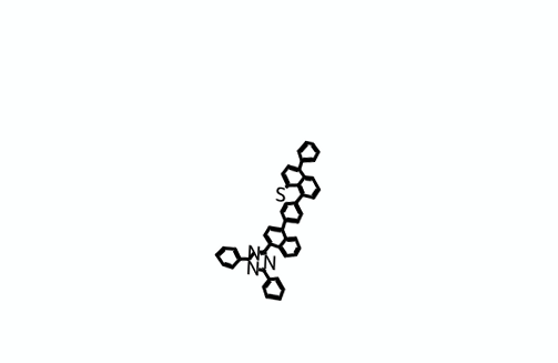 c1ccc(-c2nc(-c3ccccc3)nc(-c3ccc(-c4ccc5c(c4)Sc4ccc(-c6ccccc6)c6cccc-5c46)c4ccccc34)n2)cc1